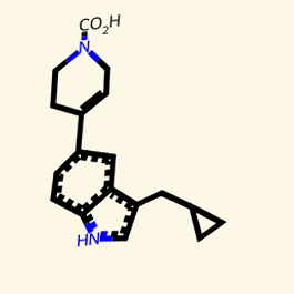 O=C(O)N1CC=C(c2ccc3[nH]cc(CC4CC4)c3c2)CC1